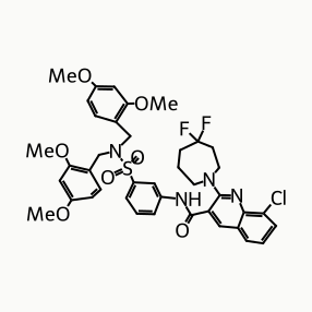 COc1ccc(CN(Cc2ccc(OC)cc2OC)S(=O)(=O)c2cccc(NC(=O)c3cc4cccc(Cl)c4nc3N3CCCC(F)(F)CC3)c2)c(OC)c1